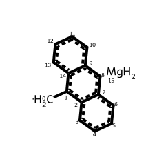 [CH2]c1c2ccccc2cc2ccccc12.[MgH2]